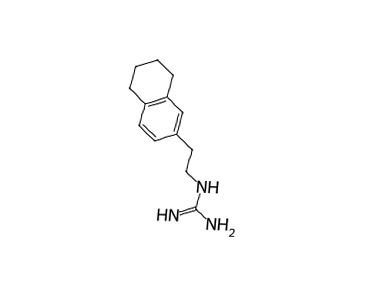 N=C(N)NCCc1ccc2c(c1)CCCC2